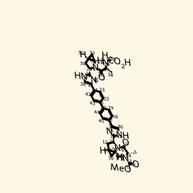 COC(=O)N[C@@H](C)C(=O)N1[C@@H]2C[C@@H]2C[C@H]1c1nc(-c2ccc(-c3ccc(-c4c[nH]c([C@@H]5C[C@H]6C[C@H]6N5C(=O)[C@H](C)NC(=O)O)n4)cc3)cc2)c[nH]1